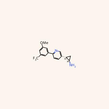 COc1cc(-c2ccc([C@@H]3C[C@H]3N)cn2)cc(C(F)(F)F)c1